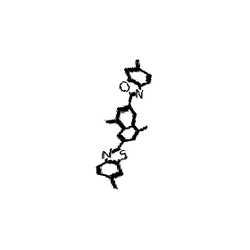 Cc1ccc2nc(-c3cc(C)c4cc(-c5nc6ccc(C)cc6s5)cc(C)c4c3)oc2c1